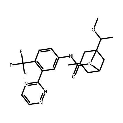 COC(C)C12CC(C)CC(C1)N2C(=O)Nc1ccc(C(F)(F)F)c(-c2nccnn2)c1